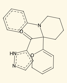 O=C(c1ccn[nH]1)C1(C2=CC=CCO2)CCCCN1c1ccccc1